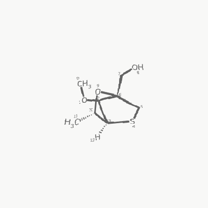 COC1[C@H]2SC[C@@]1(CO)O[C@H]2C